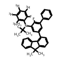 [2H]c1c([2H])c([2H])c(N(c2cc(-c3cccc4c3-c3ccccc3C4(C)C)cc(-c3ccccc3)c2F)C(C)(C)C)c(F)c1[2H]